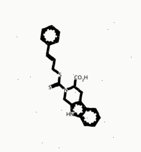 O=C(O)C1Cc2c([nH]c3ccccc23)CN1C(=S)SCC=Cc1ccccc1